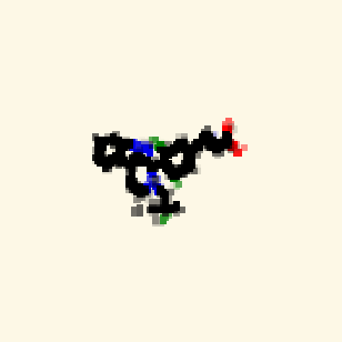 C[C@@H]1Cc2c([nH]c3ccccc23)C(c2c(F)cc(/C=C/C(=O)[O-])cc2F)=[N+]1CC(C)(C)F